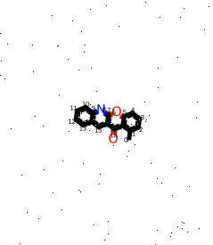 Cc1cccc2oc3nc4ccccc4cc3c(=O)c12